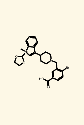 C[N+]1(C2OCCO2)C=C(C2CCN(Cc3cc(C(=O)O)ccc3Br)CC2)c2ccccc21